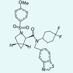 COc1ccc(S(=O)(=O)N2C[C@H]3C[C@H]3[C@@H]2C(=O)N(Cc2ccc3scnc3c2)C2CCC(F)(F)CC2)cc1